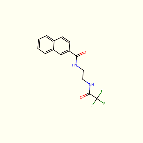 O=C(NCCNC(=O)C(F)(F)F)c1ccc2ccccc2c1